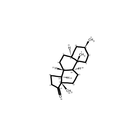 C[C@H]1CC[C@@]2(C)[C@@H](CC[C@@H]3[C@@H]2CC[C@]2(C)C(=O)CC[C@@H]32)C1